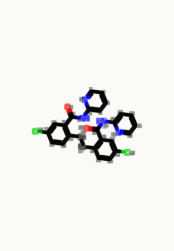 O=C(Nc1ccccn1)c1cc(Cl)ccc1[Se][Se]c1ccc(Cl)cc1C(=O)Nc1ccccn1